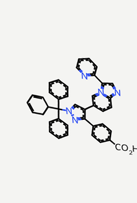 O=C(O)c1ccc(-c2nn(C(c3ccccc3)(c3ccccc3)C3C=CC=CC3)cc2-c2ccc3ncc(-c4ccccn4)n3c2)cc1